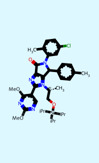 COc1ncc(-c2nc3c(n2[C@H](C)CO[Si](C(C)C)(C(C)C)C(C)C)C(c2ccc(C)cc2)N(c2cc(Cl)ccc2C)C3=O)c(OC)n1